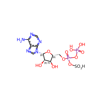 Nc1ncnc2c1ncn2[C@@H]1O[C@H](COP(=O)(OP(=O)(O)O)OS(=O)(=O)O)[C@@H](O)[C@H]1O